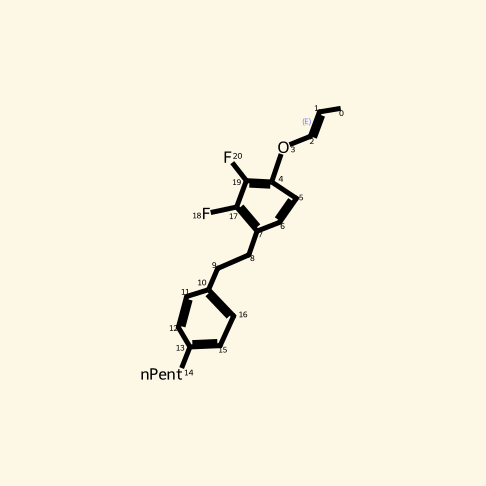 C/C=C/Oc1ccc(CCc2ccc(CCCCC)cc2)c(F)c1F